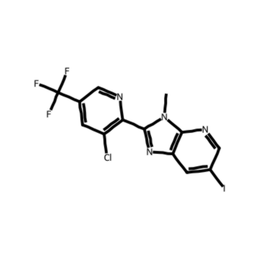 Cn1c(-c2ncc(C(F)(F)F)cc2Cl)nc2cc(I)cnc21